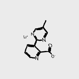 Cc1cnc(-c2cccnc2C(=O)[O-])nc1.[Li+]